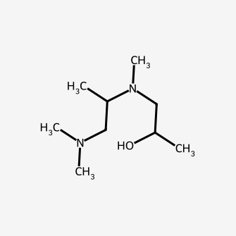 CC(O)CN(C)C(C)CN(C)C